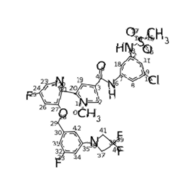 Cn1cc(C(=O)Nc2cc(Cl)cc(NS(C)(=O)=O)c2)cc1-c1ncc(F)cc1OCc1cc(F)cc(N2CC(F)(F)C2)c1